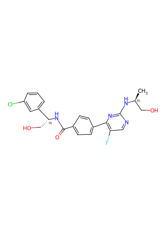 C[C@@H](CO)Nc1ncc(F)c(-c2ccc(C(=O)N[C@H](CO)c3cccc(Cl)c3)cc2)n1